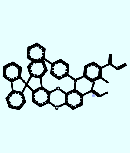 C=CC(=C)c1ccc(N(c2ccc(-c3ccccc3)cc2)c2c(/C(C)=C/C)ccc3c2Oc2c(ccc4c2-c2ccccc2C42c4ccccc4-c4ccccc42)O3)cc1C